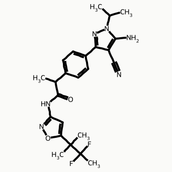 CC(C(=O)Nc1cc(C(C)(C)C(C)(F)F)on1)c1ccc(-c2nn(C(C)C)c(N)c2C#N)cc1